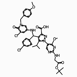 COc1ccc(Cn2cc(NC(c3ccc(Cl)cc3)c3c(C(=O)O)nn(-c4cnc(NCC(=O)OC(C)(C)C)nc4OC)c3C(C)C)cc(Cl)c2=O)cc1